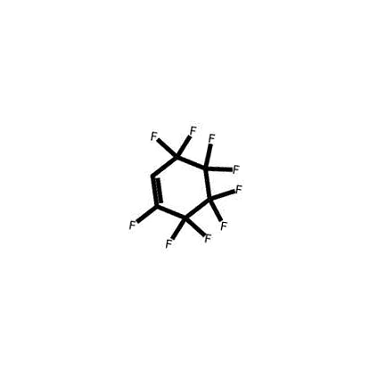 FC1=CC(F)(F)C(F)(F)C(F)(F)C1(F)F